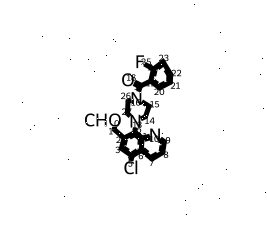 O=CCc1cc(Cl)c2cccnc2c1N1CCN(C(=O)c2ccccc2F)CC1